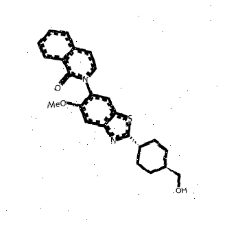 COc1cc2nc([C@H]3CC[C@H](CO)CC3)sc2cc1-n1ccc2ccccc2c1=O